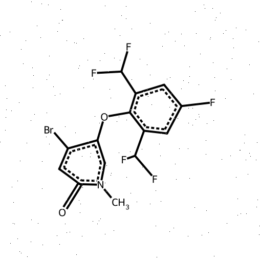 Cn1cc(Oc2c(C(F)F)cc(F)cc2C(F)F)c(Br)cc1=O